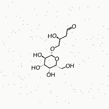 O=CC[C@H](O)CO[C@@H]1O[C@H](CO)[C@H](O)[C@H](O)[C@H]1O